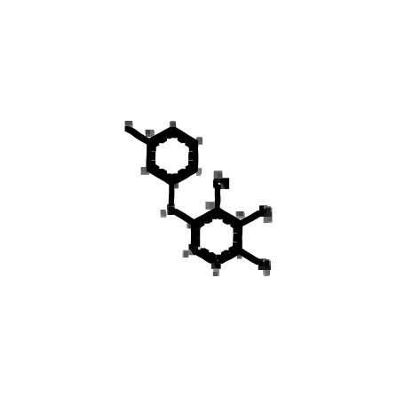 CCc1nnc(Sc2cccc(C)c2)c(C#N)c1CC